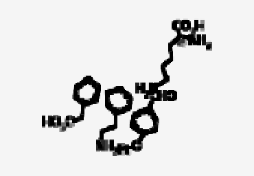 CCOc1ccc(C=O)cc1.NCCCC[C@H](N)C(=O)O.NCCc1ccccc1.O=C(O)Cc1ccccc1